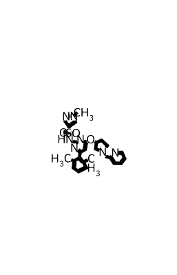 Cc1cccc(C)c1-c1cc(OC2CCN(Cc3ccccn3)C2)nc(NS(=O)(=O)c2cnn(C)c2)n1